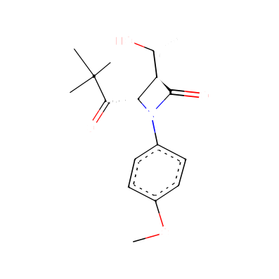 COc1ccc(N2C(=O)[C@H]([C@@H](C)O)[C@H]2C(=O)C(C)(C)C)cc1